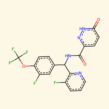 O=C(NC(c1ccc(OC(F)(F)F)c(F)c1)c1ncccc1F)c1ccc(=O)[nH]n1